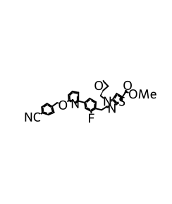 COC(=O)c1cc2c(nc(Cc3ccc(-c4cccc(OCc5ccc(C#N)cc5)n4)cc3F)n2C[C@@H]2CCO2)s1